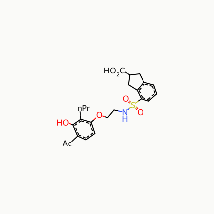 CCCc1c(OCCNS(=O)(=O)c2cccc3c2CC(C(=O)O)C3)ccc(C(C)=O)c1O